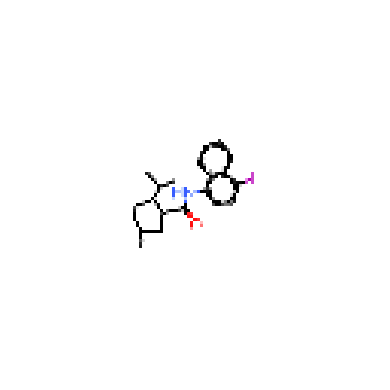 CC1CCC(C(C)C)C(C(=O)Nc2ccc(I)c3ccccc23)C1